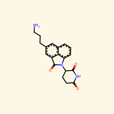 NCCCc1cc2c3c(cccc3c1)N(C1CCC(=O)NC1=O)C2=O